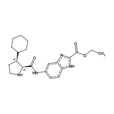 CCOC(=O)c1nc2cc(NC(=O)[C@H]3NCC[C@H]3C3CCCCC3)ccc2[nH]1